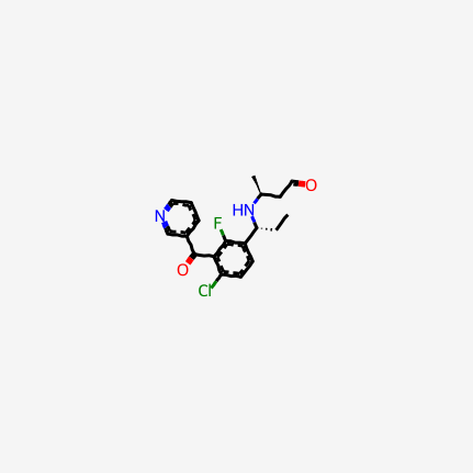 CC[C@@H](N[C@@H](C)CC=O)c1ccc(Cl)c(C(=O)c2cccnc2)c1F